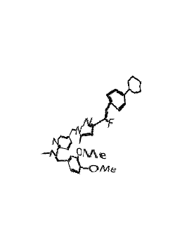 COc1ccc(CN(C)c2ccc(Cn3nc(/C(F)=C/c4ccc(C5CCCCC5)cc4)cc3C)cn2)cc1OC